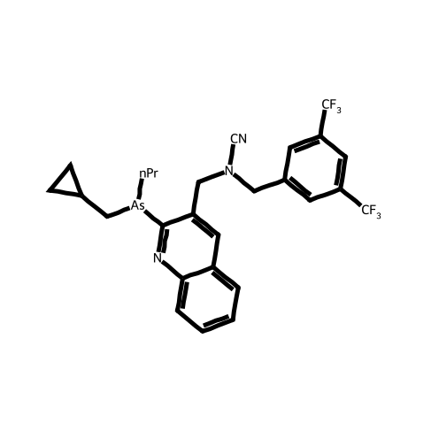 CCC[As](CC1CC1)c1nc2ccccc2cc1CN(C#N)Cc1cc(C(F)(F)F)cc(C(F)(F)F)c1